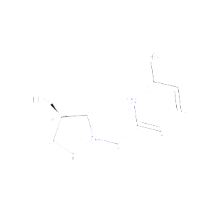 CC(C)c1cccc(CN2CC[C@@H](C)C2)n1